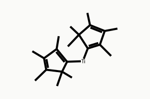 CC1=C(C)C(C)(C)[C]([Ti][C]2=C(C)C(C)=C(C)C2(C)C)=C1C